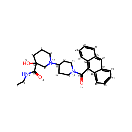 CCNC(=O)C1(O)CCCN(C2CCN(C(=O)c3c4ccccc4cc4ccccc34)CC2)C1